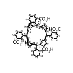 O=C(O)c1ccccc1C1=C2C=CC(=N2)C(c2ccccc2C(=O)O)=c2ccc([nH]2)=C(c2ccccc2C(=O)O)C2=NC(Cl)(C=C2)C(Cl)(c2ccccc2C(=O)O)c2ccc1[nH]2